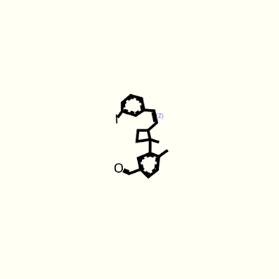 Cc1ccc(C=O)cc1C1(C)CCC1/C=C\c1cccc(I)c1